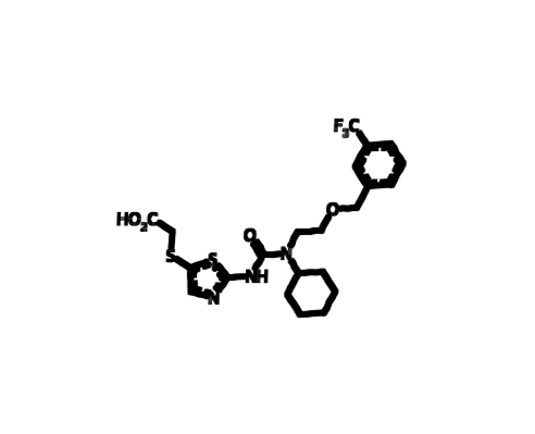 O=C(O)CSc1cnc(NC(=O)N(CCOCc2cccc(C(F)(F)F)c2)C2CCCCC2)s1